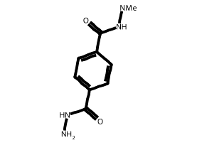 CNNC(=O)c1ccc(C(=O)NN)cc1